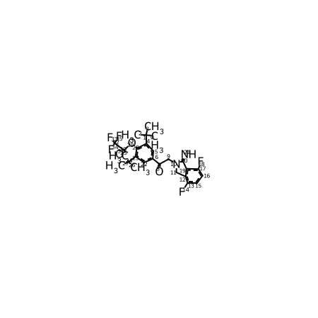 CC(C)(C)c1cc(C(=O)CN2Cc3c(F)ccc(F)c3C2=N)cc(C(C)(C)C)c1OC(=O)C(F)(F)F